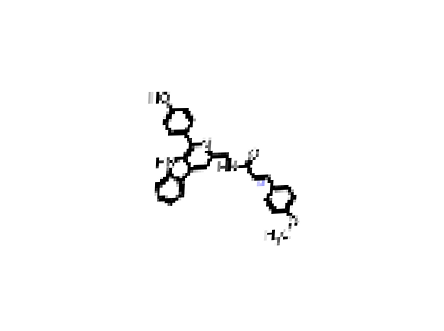 COc1ccc(/C=C/C(=O)NCc2cc3c([nH]c4ccccc43)c(-c3ccc(O)cc3)n2)cc1